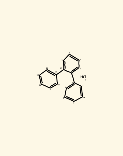 Cl.c1ccc(-c2ccccc2-c2ccccc2)cc1